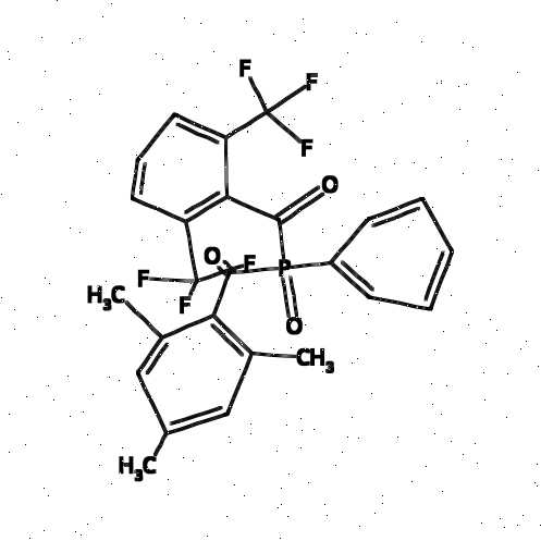 Cc1cc(C)c(C(=O)P(=O)(C(=O)c2c(C(F)(F)F)cccc2C(F)(F)F)c2ccccc2)c(C)c1